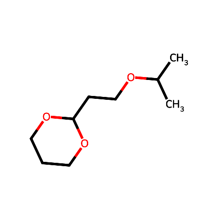 CC(C)OCCC1OCCCO1